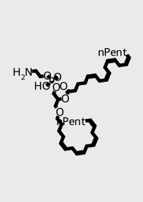 CCCCC/C=C\C/C=C\C/C=C\C/C=C\CCCCOCC(COP(=O)(O)OCCN)OC(=O)CCC/C=C\C/C=C\C/C=C\C/C=C\CCCCC